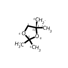 [CH2][C@]1(C)COC(C)(C)O1